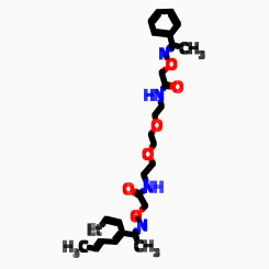 C/C=C/C=C(\C=C/CC)C(/C)=N\OCC(=O)NCCOCCOCCNC(=O)CO/N=C(\C)c1ccccc1